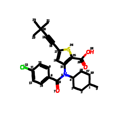 CC1CCC(N(C(=O)c2ccc(Cl)cc2)c2cc(C#CC(C)(C)C)sc2C(=O)O)CC1